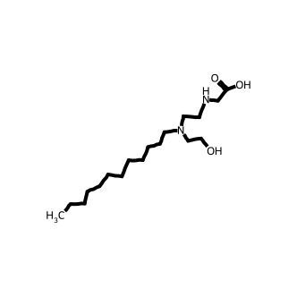 CCCCCCCCCCCCN(CCO)CCNCC(=O)O